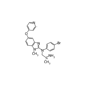 C[C@@H](N)CN(c1ccc(Br)cc1)c1nc2cc(Oc3c[c]ncc3)ccc2n1C